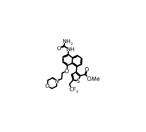 COC(=O)c1sc(CC(F)(F)F)cc1-c1cccc2c(NC(N)=O)ccc(OCCN3CCOCC3)c12